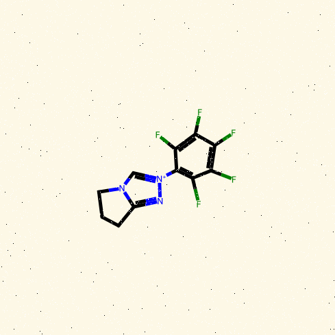 Fc1c(F)c(F)c(-[n+]2cn3c(n2)CCC3)c(F)c1F